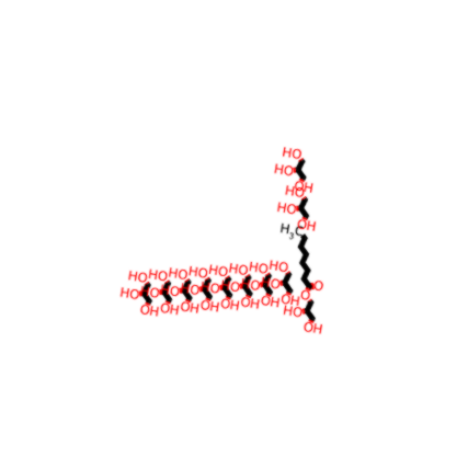 CCCCCCCC(=O)OCC(O)CO.OCC(O)CO.OCC(O)CO.OCC(O)CO.OCC(O)CO.OCC(O)CO.OCC(O)CO.OCC(O)CO.OCC(O)CO.OCC(O)CO.OCC(O)CO